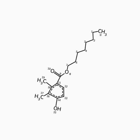 CCCCCCCCOC(=O)c1ccc(O)c(C)c1C